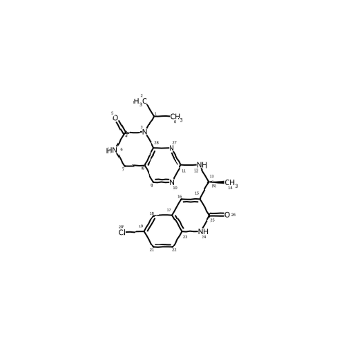 CC(C)N1C(=O)NCc2cnc(N[C@@H](C)c3cc4cc(Cl)ccc4[nH]c3=O)nc21